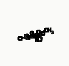 CCOC(=O)c1cccnc1[Se]NC(=O)c1ccc(Cl)cn1